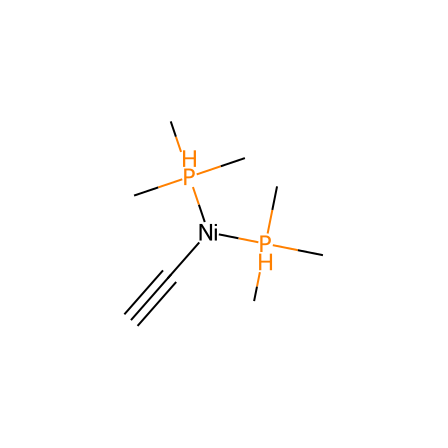 C#[C][Ni]([PH](C)(C)C)[PH](C)(C)C